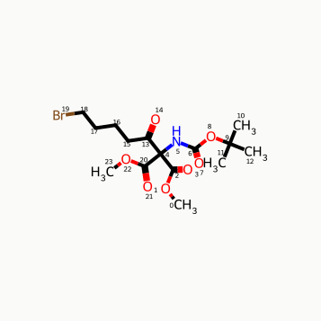 COC(=O)C(NC(=O)OC(C)(C)C)(C(=O)CCCCBr)C(=O)OC